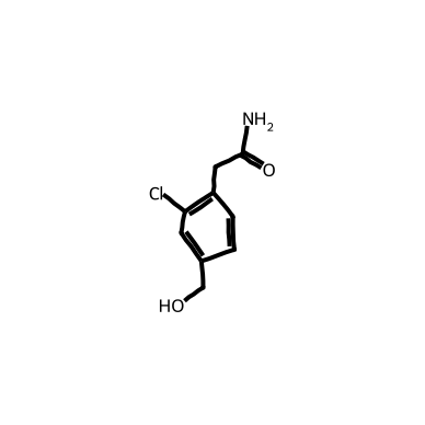 NC(=O)Cc1ccc(CO)cc1Cl